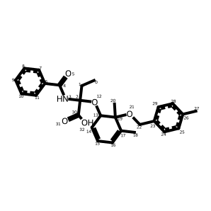 CCC(NC(=O)c1ccccc1)(OC1C=CC=C(C)C1(C)OCc1ccc(C)cc1)C(=O)O